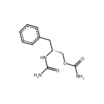 NC(=O)N[C@@H](COC(N)=O)Cc1ccccc1